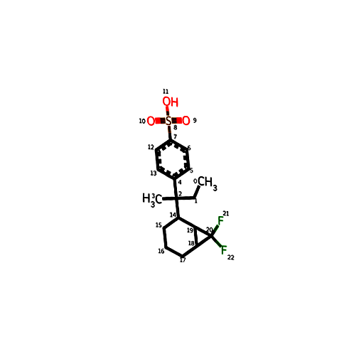 CCC(C)(c1ccc(S(=O)(=O)O)cc1)C1CCCC2C1C2(F)F